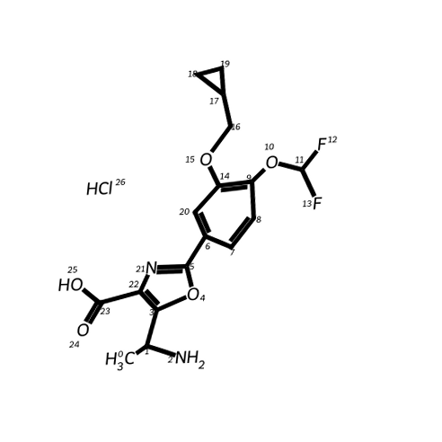 CC(N)c1oc(-c2ccc(OC(F)F)c(OCC3CC3)c2)nc1C(=O)O.Cl